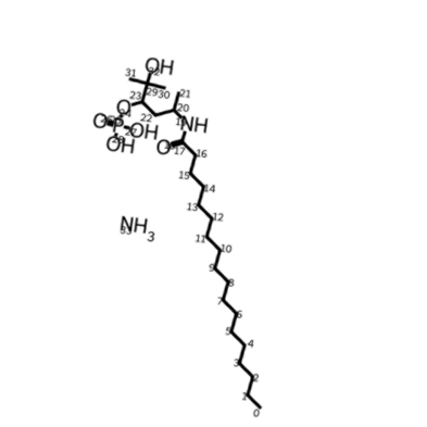 CCCCCCCCCCCCCCCCCC(=O)NC(C)CC(OP(=O)(O)O)C(C)(C)O.N